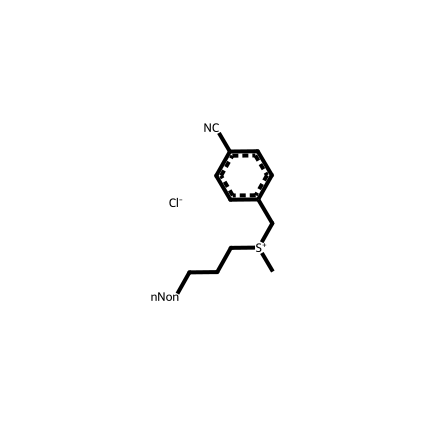 CCCCCCCCCCCC[S+](C)Cc1ccc(C#N)cc1.[Cl-]